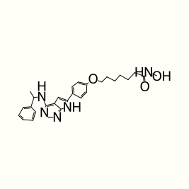 CC(Nc1ncnc2[nH]c(-c3ccc(OCCCCCCC(=O)NO)cc3)cc12)c1ccccc1